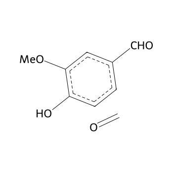 C=O.COc1cc(C=O)ccc1O